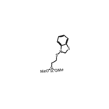 CO[SiH](CCSN1CSc2ccccc21)OC